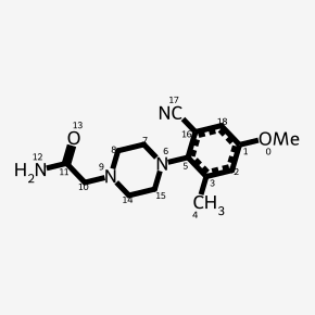 COc1cc(C)c(N2CCN(CC(N)=O)CC2)c(C#N)c1